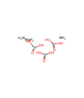 [AlH3].[AlH3].[MgH2].[O]=[Ti]([OH])[OH].[O]=[Ti]([OH])[OH].[O]=[Ti]([OH])[OH]